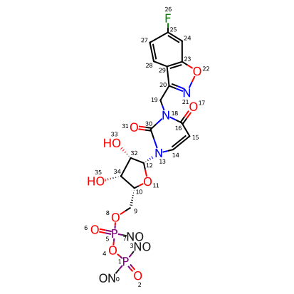 O=NP(=O)(N=O)OP(=O)(N=O)OC[C@H]1O[C@@H](n2ccc(=O)n(Cc3noc4cc(F)ccc34)c2=O)[C@@H](O)[C@H]1O